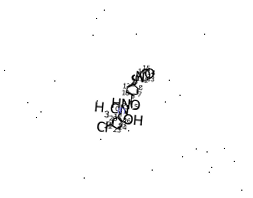 C/C(=N\NC(=O)c1ccc(SN2CCOCC2)cc1)c1cc(Cl)ccc1O